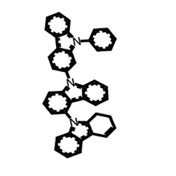 C1=Cc2c(n(-c3cccc4c3c3ccccc3n4-c3ccc4c5ccccc5n(-c5ccccc5)c4c3)c3ccccc23)CC1